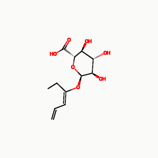 C=C/C=C(\CC)O[C@H]1O[C@H](C(=O)O)[C@@H](O)[C@H](O)[C@H]1O